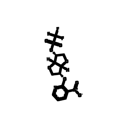 O=[N+]([O-])c1cccnc1O[C@@H]1CO[C@H]2[C@@H]1OC[C@H]2OS(=O)(=O)C(F)(F)F